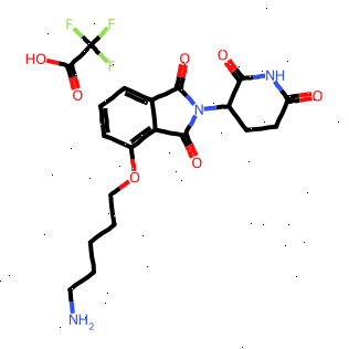 NCCCCCOc1cccc2c1C(=O)N(C1CCC(=O)NC1=O)C2=O.O=C(O)C(F)(F)F